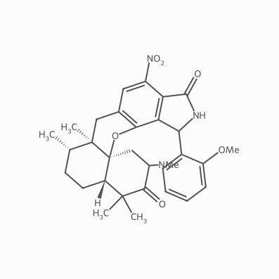 CNC1C[C@@]23Oc4c(cc([N+](=O)[O-])c5c4C(c4ccccc4OC)NC5=O)C[C@]2(C)[C@@H](C)CC[C@H]3C(C)(C)C1=O